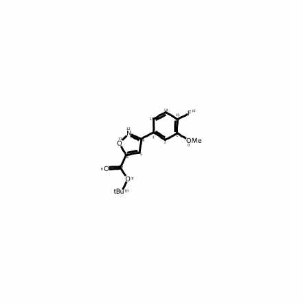 COc1cc(-c2cc(C(=O)OC(C)(C)C)on2)ccc1F